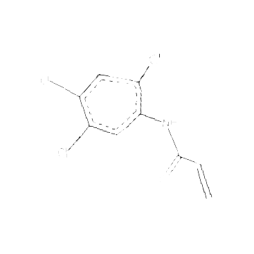 C=CC(=O)Nc1cc(Cl)c(Cl)cc1Cl